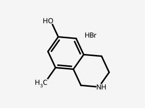 Br.Cc1cc(O)cc2c1CNCC2